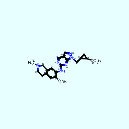 COc1cc2c(cc1Nc1ncc3cnn(CC4CC4C(=O)O)c3n1)CN(C)CC2